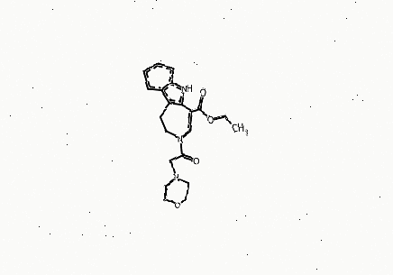 CCOC(=O)C1=CN(C(=O)CN2CCOCC2)CCc2c1[nH]c1ccccc21